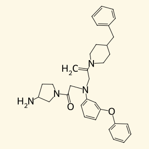 C=C(CN(CC(=O)N1CCC(N)C1)c1cccc(Oc2ccccc2)c1)N1CCC(Cc2ccccc2)CC1